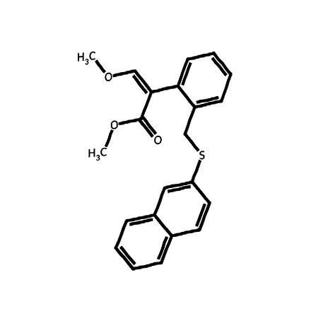 CO/C=C(\C(=O)OC)c1ccccc1CSc1ccc2ccccc2c1